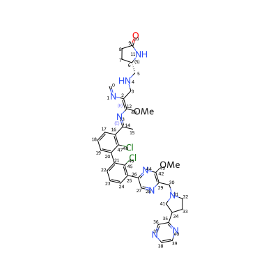 C=N/C(CNC[C@@H]1CCC(=O)N1)=C(\N=C(/C)c1cccc(-c2cccc(-c3cnc(CN4CCC(c5cnccn5)C4)c(OC)n3)c2Cl)c1Cl)OC